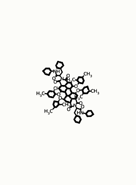 Cc1ccc(Oc2cc3c4c(cc(Oc5ccc(C)cc5C)c5c6c(Oc7ccc(C)cc7C)cc7c8c(cc(Oc9ccc(C)cc9C)c(c2c45)c86)C(=O)N(C(Cc2ccccc2)C(=O)Nc2ccccc2)C7=O)C(=O)N(C(Cc2ccccc2)C(=O)Nc2ccccc2)C3=O)c(C)c1